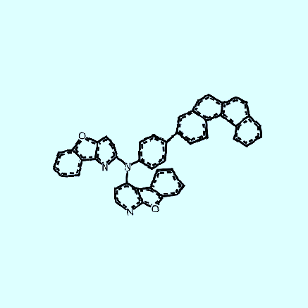 c1ccc2c(c1)ccc1ccc3cc(-c4ccc(N(c5ccc6oc7ccccc7c6n5)c5ccnc6oc7ccccc7c56)cc4)ccc3c12